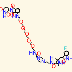 Cc1[nH]c(/C=C2\C(=O)Nc3ccc(F)cc32)c(C)c1C(=O)NCCCN1CCN(CC(=O)NCCOCCOCCOCCOCCOCCNc2cccc3c2C(=O)N(C2CCC(=O)NC2=O)C3=O)CC1